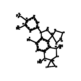 CC(C)c1nc2c(c3c1C(c1ccc(C(F)(F)F)c(C#N)c1)OC31CCOC1)C(O)CC1(CC1)C2O